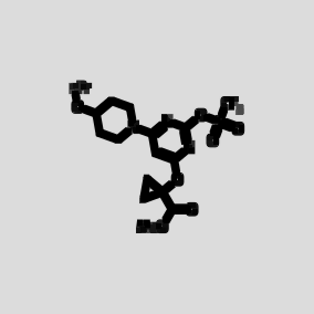 CCCOC1CCN(c2cc(OC3(C(=O)OC)CC3)nc(OS(=O)(=O)C(F)(F)F)n2)CC1